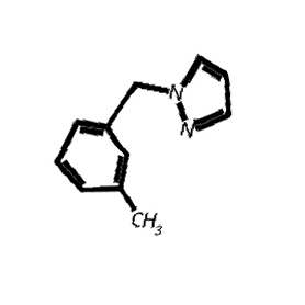 Cc1cccc(Cn2cccn2)c1